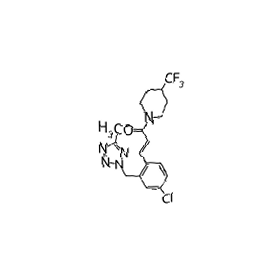 Cc1nnn(Cc2cc(Cl)ccc2C=CC(=O)N2CCC(C(F)(F)F)CC2)n1